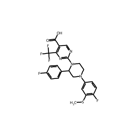 CSc1cc(N2CCN(c3ncc(C(=O)O)c(C(F)(F)F)n3)C(c3ccc(F)cc3)C2)ccc1F